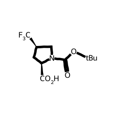 CC(C)(C)OC(=O)N1C[C@H](C(F)(F)F)C[C@@H]1C(=O)O